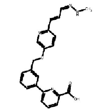 CN/N=C\C=C\c1ccc(OCc2cccc(-c3cccc(C(=O)O)n3)c2)cn1